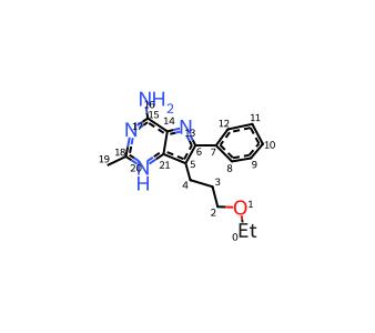 CCOCCCc1c(-c2ccccc2)nc2c(N)nc(C)[nH]c1-2